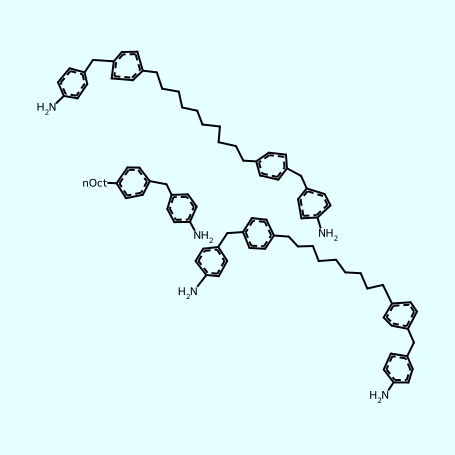 CCCCCCCCc1ccc(Cc2ccc(N)cc2)cc1.Nc1ccc(Cc2ccc(CCCCCCCCCCc3ccc(Cc4ccc(N)cc4)cc3)cc2)cc1.Nc1ccc(Cc2ccc(CCCCCCCCCc3ccc(Cc4ccc(N)cc4)cc3)cc2)cc1